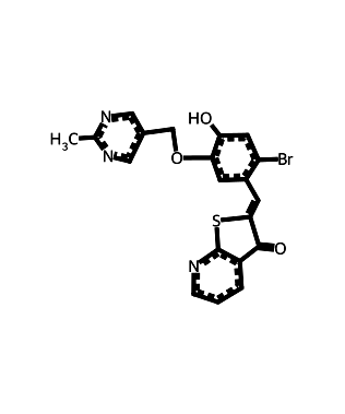 Cc1ncc(COc2cc(/C=C3\Sc4ncccc4C3=O)c(Br)cc2O)cn1